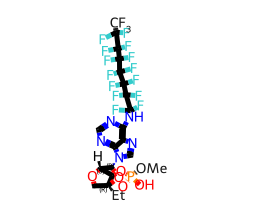 CC[C@@]12CO[C@@H](C1OP(=O)(O)OC)[C@H](n1cnc3c(NC(F)(F)C(F)(F)C(F)(F)C(F)(F)C(F)(F)C(F)(F)C(F)(F)C(F)(F)F)ncnc31)O2